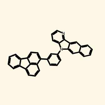 c1cc(-c2ccc3c4c(cccc24)-c2ccccc2-3)cc(-n2c3cc4ccccc4cc3c3ncccc32)c1